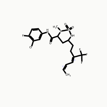 C/C=C\C=C(/CCC1CC(C(=O)Nc2ccc(F)c(Cl)c2)N(C)S(=O)(=O)N1)C(F)(F)F